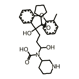 Cc1ccccc1Oc1ccccc1C(O)(CCC(O)N(C(=O)O)C1CCCNC1)C(=O)C1CCCC1